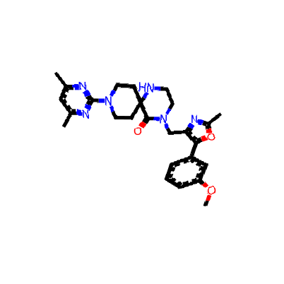 COc1cccc(-c2oc(C)nc2CN2CCNC3(CCN(c4nc(C)cc(C)n4)CC3)C2=O)c1